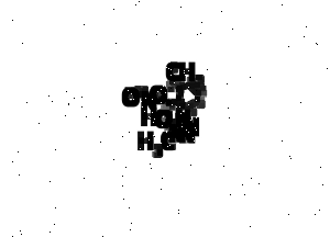 C=Cc1cccc(-n2nnn(C)c2=O)c1CONC=O